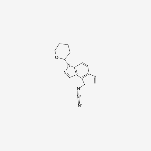 C=Cc1ccc2c(cnn2C2CCCCO2)c1CN=[N+]=[N-]